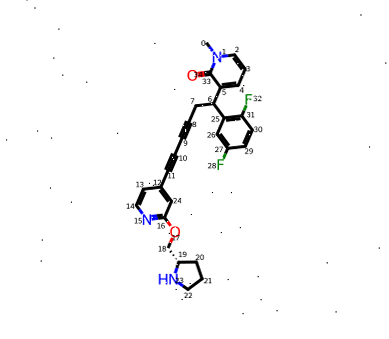 Cn1cccc(C(CC#CC#Cc2ccnc(OC[C@@H]3CCCN3)c2)c2cc(F)ccc2F)c1=O